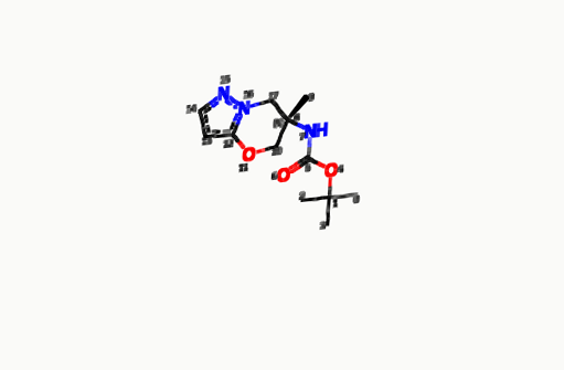 CC(C)(C)OC(=O)N[C@]1(C)COc2ccnn2C1